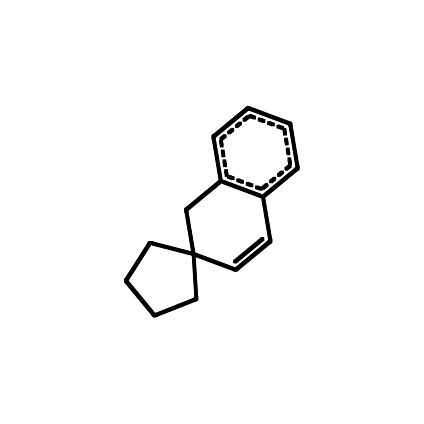 C1=CC2(CCCC2)Cc2ccccc21